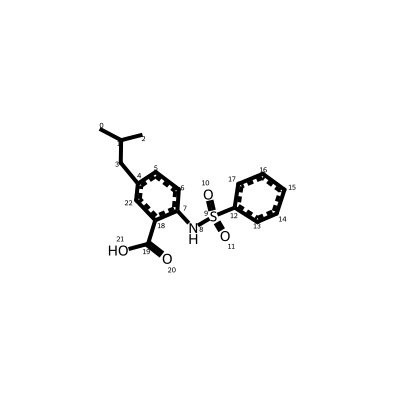 CC(C)Cc1ccc(NS(=O)(=O)c2ccccc2)c(C(=O)O)c1